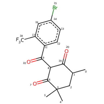 CC1CC(C)(C)C(=O)C(C(=O)c2ccc(Br)cc2C(F)(F)F)C1=O